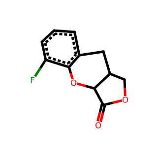 O=C1OCC2Cc3cccc(F)c3OC12